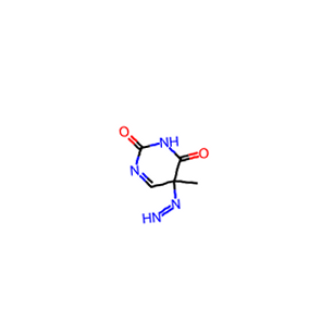 CC1(N=N)C=NC(=O)NC1=O